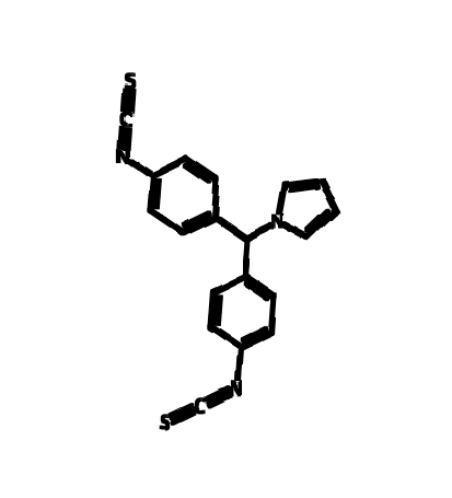 S=C=Nc1ccc(C(c2ccc(N=C=S)cc2)n2cccc2)cc1